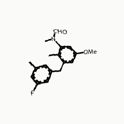 COc1cc(Cc2cc(C)cc(F)c2)c(C)c(N(C)C=O)c1